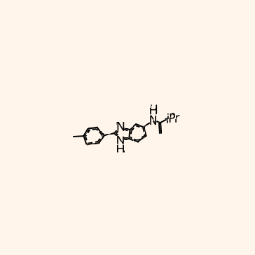 C=C(Nc1ccc2[nH]c(-c3ccc(C)cc3)nc2c1)C(C)C